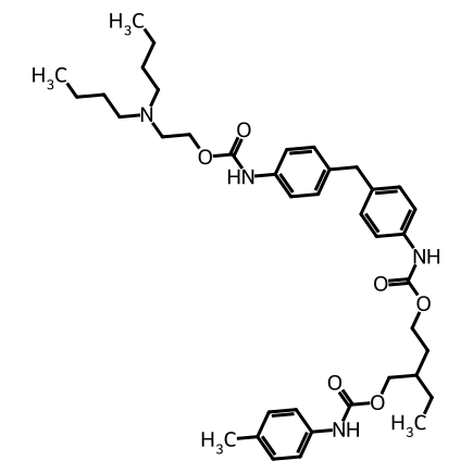 CCCCN(CCCC)CCOC(=O)Nc1ccc(Cc2ccc(NC(=O)OCCC(CC)COC(=O)Nc3ccc(C)cc3)cc2)cc1